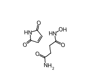 NC(=O)CCC(=O)NO.O=C1C=CC(=O)N1